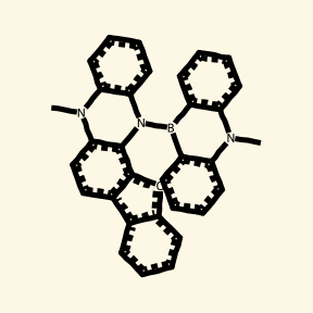 CN1c2ccccc2B(N2c3ccccc3N(C)c3ccc4c(oc5ccccc54)c32)c2ccccc21